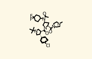 CC(=O)N(C1CCC(F)(F)CC1)[C@H]1C[C@@H](C(=O)N2CCN(C)CC2)N(C(=O)[C@@H]2CN(C(C)(C)C)C[C@H]2c2ccc(Cl)cc2)C1